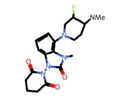 CNC1CCN(c2cccc3c2n(C)c(=O)n3N2C(=O)CCCC2=O)CC1F